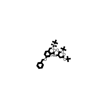 CC(C)(C)OC(=O)CC(NC(=O)c1cc(OCc2ccccc2)ccc1CO[Si](C)(C)C(C)(C)C)C(=O)OC(C)(C)C